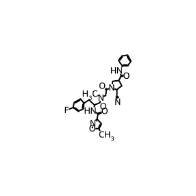 Cc1cc(C(=O)NC(Cc2ccc(F)cc2)C(=O)N(C)CC(=O)N2CC(C(=O)Nc3ccccc3)CC2C#N)no1